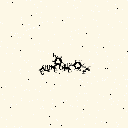 CC(C)(Oc1ccc(F)cc1C(=O)NCC1CCO1)C(=O)Nc1ccc(OC(F)F)cc1